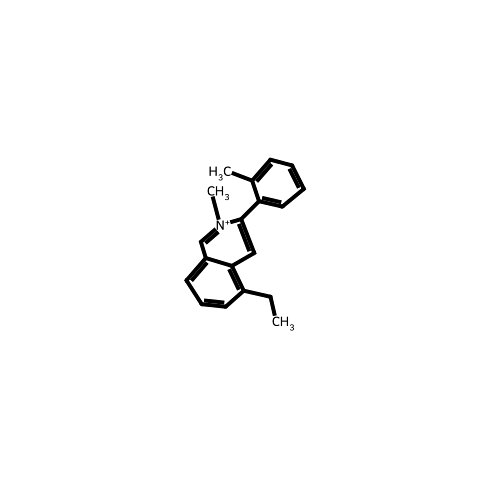 CCc1cccc2c[n+](C)c(-c3ccccc3C)cc12